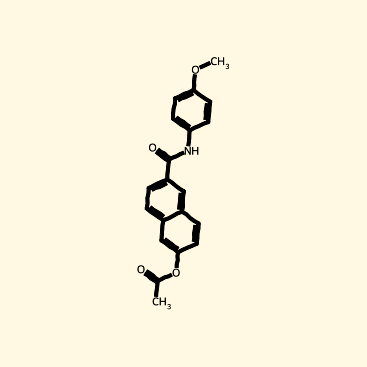 COc1ccc(NC(=O)c2ccc3cc(OC(C)=O)ccc3c2)cc1